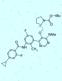 CNc1ncnc(-c2cc(F)cc(NC(=O)c3ccc(C4CC4)cc3F)c2C)c1OC[C@@H]1CCCN1C(=O)OC(C)(C)C